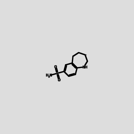 NS(=O)(=O)c1ccc2c(c1)CC[CH]CN2